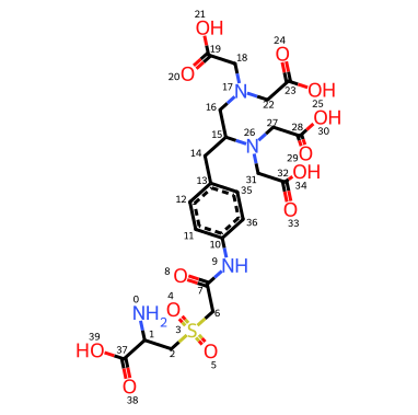 NC(CS(=O)(=O)CC(=O)Nc1ccc(CC(CN(CC(=O)O)CC(=O)O)N(CC(=O)O)CC(=O)O)cc1)C(=O)O